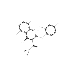 O=C(c1c(Nc2ccc(F)cc2F)[nH]c2c(Cl)ccc(Cl)c2c1=O)C1CC1